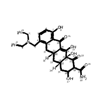 CC(C)CN(Cc1ccc(O)c2c1C[C@H]1C[C@H]3CC(O)C(C(N)=O)C(=O)[C@@]3(O)C(O)=C1C2=O)CC(C)C